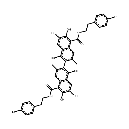 CCc1ccc(CCNC(=O)c2c(O)c(O)cc3c(O)c(-c4c(C)cc5c(C(=O)NCCc6ccc(CC)cc6)c(O)c(O)cc5c4O)c(C)cc23)cc1